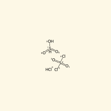 Cl.O=S(=O)(Cl)Cl.O=[SH](=O)O